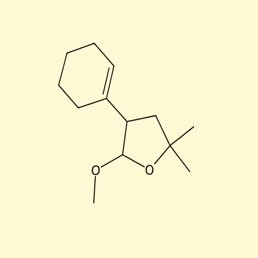 COC1OC(C)(C)CC1C1=CCCCC1